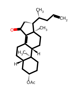 C=CC[C@@H](C)[C@H]1CC(=O)C2=C3CC[C@H]4C[C@@H](OC(C)=O)CC[C@]4(C)[C@H]3CC[C@@]21C